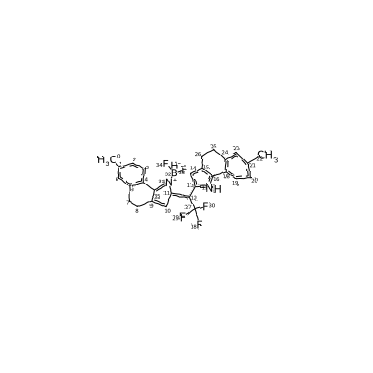 Cc1ccc2c(c1)CCC1=C/C(=C(/c3cc4c([nH]3)-c3ccc(C)cc3CC4)C(F)(F)F)[N+]([BH-](F)F)=C12